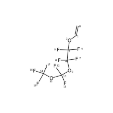 C=COC(F)(F)C(F)(F)OC(F)(F)OC(F)(F)I